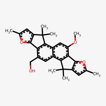 COc1cc2c3c(c(CO)cc2c2c1-c1oc(C)cc1C2(C)C)-c1oc(C)cc1C3(C)C